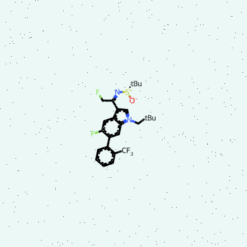 CC(C)(C)Cn1cc(/C(CF)=N\[S@@+]([O-])C(C)(C)C)c2cc(F)c(-c3ccccc3C(F)(F)F)cc21